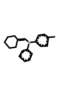 Cc1ccc(N(C=C2CCCCC2)c2ccccc2)cc1